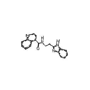 O=C(NCCc1nc2ccccc2[nH]1)c1ccnc2ccccc12